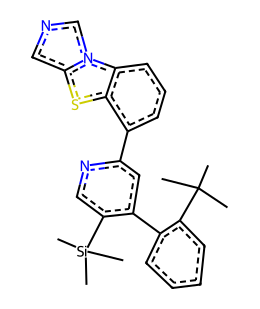 CC(C)(C)c1ccccc1-c1cc(-c2cccc3c2sc2cncn23)ncc1[Si](C)(C)C